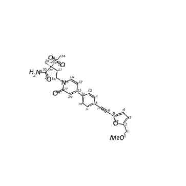 COCc1ccc(C#Cc2ccc(-c3ccn(CCC(C)(C(N)=O)S(C)(=O)=O)c(=O)c3)cc2)o1